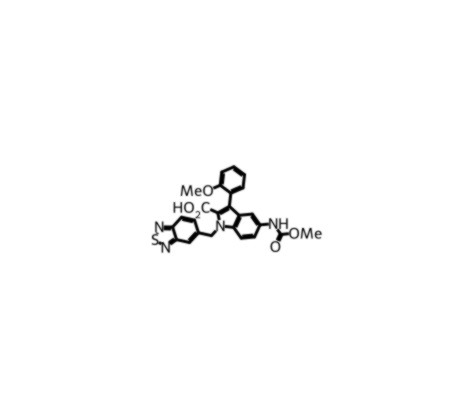 COC(=O)Nc1ccc2c(c1)c(-c1ccccc1OC)c(C(=O)O)n2Cc1ccc2nsnc2c1